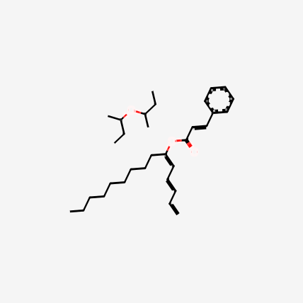 C=CC=CC=C(CCCCCCCCC)OC(=O)C=Cc1ccccc1.CCC(C)OC(C)CC